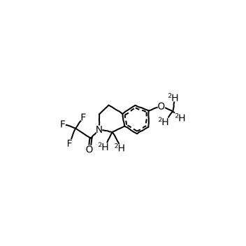 [2H]C([2H])([2H])Oc1ccc2c(c1)CCN(C(=O)C(F)(F)F)C2([2H])[2H]